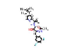 CC(=O)N[C@@H](Cc1cc(F)cc(F)c1)[C@@H](O)CNC1(c2cc(CC(C)(C)C)ccn2)CC1